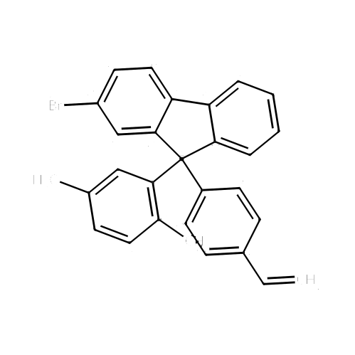 C=Cc1ccc(C2(c3cc(C)ccc3C)c3ccccc3-c3ccc(Br)cc32)cc1